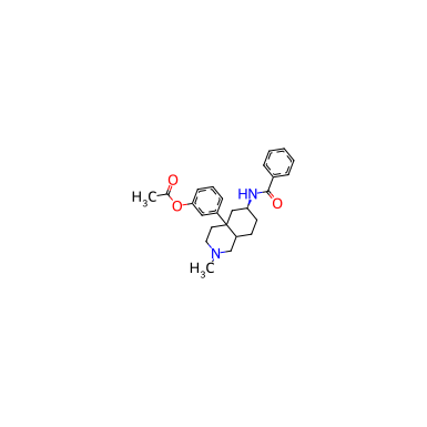 CC(=O)Oc1cccc(C23CCN(C)CC2CC[C@H](NC(=O)c2ccccc2)C3)c1